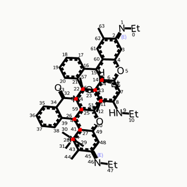 CC/N=c1\cc2oc3cc(NCC)c(C)cc3c(-c3ccccc3C(=O)N(CCC[N+](C)(C)C)C(=O)c3ccccc3-c3c4cc(C)/c(=N/CC)cc-4oc4cc(NCC)c(C)cc34)c-2cc1C